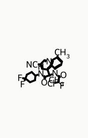 Cc1ccc(N(C(=O)[C@H](F)Cl)[C@](C)(C(=O)NC2CCC(F)(F)CC2)c2cncc(C#N)c2)cc1